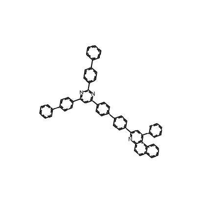 c1ccc(-c2ccc(-c3cc(-c4ccc(-c5ccc(-c6cc(-c7ccccc7)c7c(ccc8ccccc87)n6)cc5)cc4)nc(-c4ccc(-c5ccccc5)cc4)n3)cc2)cc1